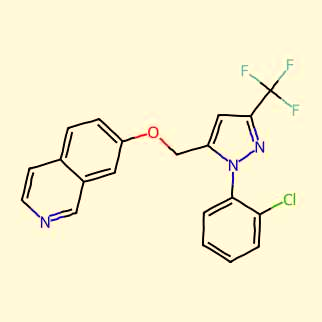 FC(F)(F)c1cc(COc2ccc3ccncc3c2)n(-c2ccccc2Cl)n1